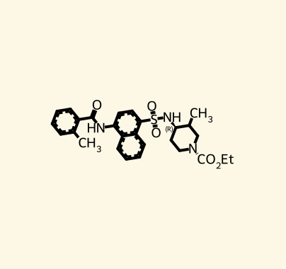 CCOC(=O)N1CC[C@@H](NS(=O)(=O)c2ccc(NC(=O)c3ccccc3C)c3ccccc23)C(C)C1